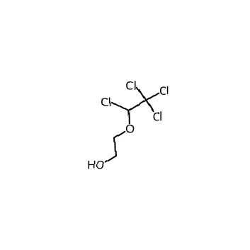 OCCOC(Cl)C(Cl)(Cl)Cl